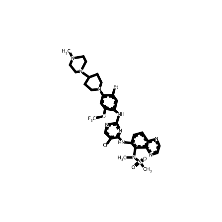 CCc1cc(Nc2ncc(Cl)c(Nc3ccc4nccnc4c3N(C)S(C)(=O)=O)n2)c(OC(F)(F)F)cc1N1CCC(N2CCN(C)CC2)CC1